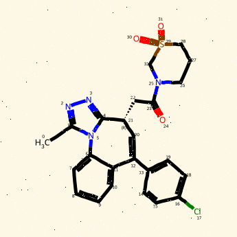 Cc1nnc2n1-c1ccccc1C(c1ccc(Cl)cc1)=C[C@H]2CC(=O)N1CCCS(=O)(=O)C1